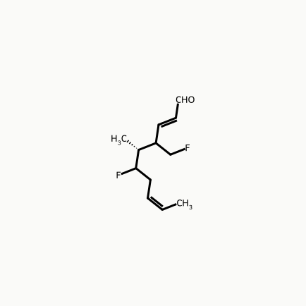 C/C=C\CC(F)[C@H](C)C(/C=C/C=O)CF